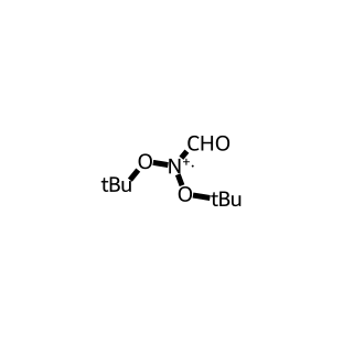 CC(C)(C)O[N+](C=O)OC(C)(C)C